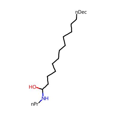 CCCCCCCCCCCCCCCCCCCCCC(O)NCCC